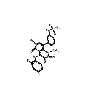 CCS(=O)(=O)Nc1cccc(-c2nn(C(C)C)c(=O)c3c(Nc4ccc(I)cc4F)c(F)c(=O)n(C)c23)c1